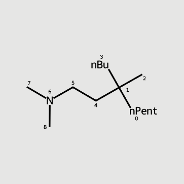 CCCCCC(C)(CCCC)CCN(C)C